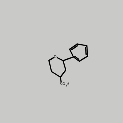 O=C(O)C1CCOC(c2ccccc2)C1